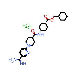 Cl.Cl.N=C(N)c1ccc(N2CCC(C(=O)N[C@H]3CC[C@H](C(=O)OCC4CCCCC4)CC3)CC2)nc1